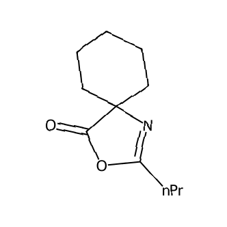 CCCC1=NC2(CCCCC2)C(=O)O1